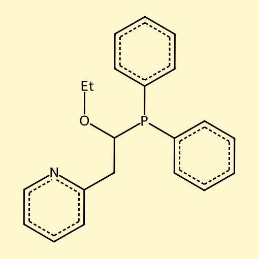 CCOC(Cc1ccccn1)P(c1ccccc1)c1ccccc1